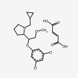 COCC(Oc1cc(Cl)cc(Cl)c1)C1CCCN1CC1CC1.O=C(O)C=CC(=O)O